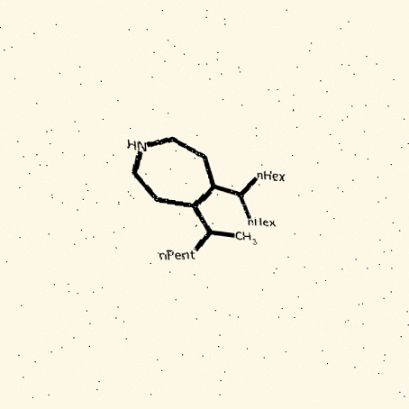 CCCCCCC(CCCCCC)C1CCNCCC1C(C)CCCCC